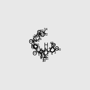 COc1ccc(C2CC(C(F)(F)F)n3nc(C(=O)c4ccc(C(=O)N5CCN(C(=O)OC(C)(C)C)CC5)nc4)cc3N2)cc1OC